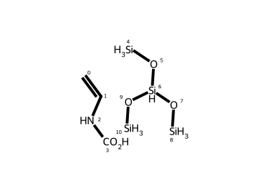 C=CNC(=O)O.[SiH3]O[SiH](O[SiH3])O[SiH3]